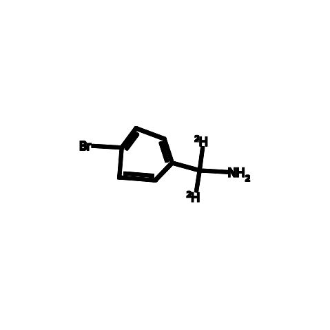 [2H]C([2H])(N)c1ccc(Br)cc1